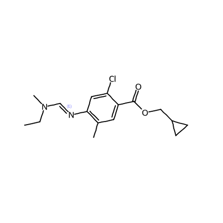 CCN(C)/C=N/c1cc(Cl)c(C(=O)OCC2CC2)cc1C